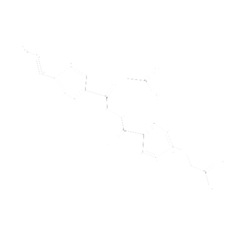 CC(=O)O.NN=Cc1ccc(C(=O)CCC(=O)c2ccc(OCC(=O)O)cc2)cc1